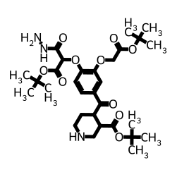 CC(C)(C)OC(=O)COc1cc(C(=O)C2CCNCC2C(=O)OC(C)(C)C)ccc1OC(C(=O)NN)C(=O)OC(C)(C)C